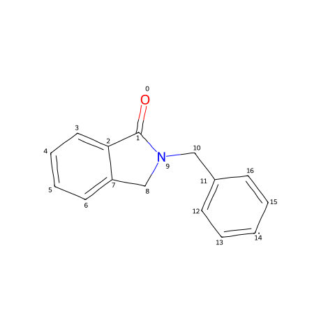 O=C1c2ccccc2CN1Cc1cc[c]cc1